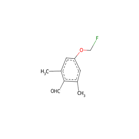 Cc1cc(OCF)cc(C)c1C=O